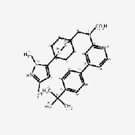 CC(C)c1cc(C23CCC(CN(C(=O)O)c4cc(-c5ccc(C(C)(C)O)cc5)ccn4)(CC2)CC3)n(C)n1